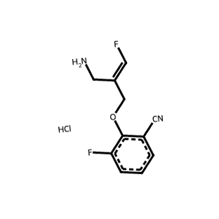 Cl.N#Cc1cccc(F)c1OCC(=CF)CN